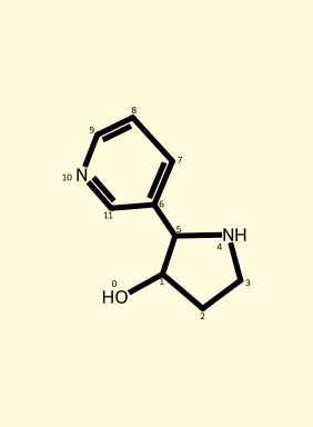 OC1CCNC1c1cccnc1